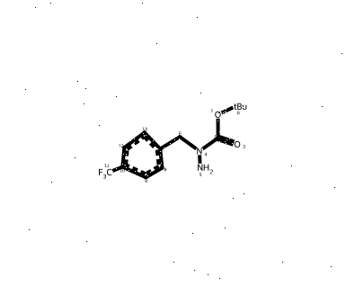 CC(C)(C)OC(=O)N(N)Cc1ccc(C(F)(F)F)cc1